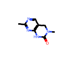 Cc1ncc2c(n1)NC(=O)N(C)C2